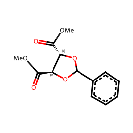 COC(=O)[C@@H]1OC(c2ccccc2)O[C@H]1C(=O)OC